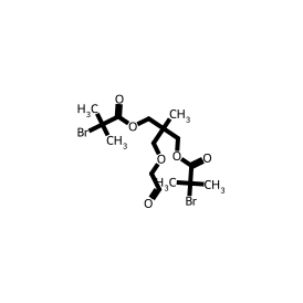 CC(COCC=O)(COC(=O)C(C)(C)Br)COC(=O)C(C)(C)Br